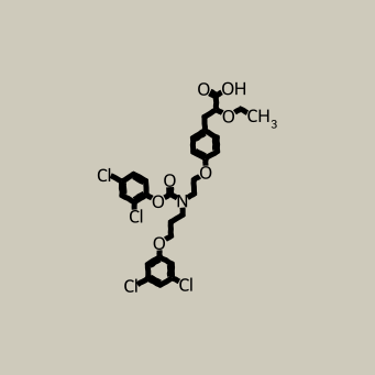 CCOC(Cc1ccc(OCCN(CCCOc2cc(Cl)cc(Cl)c2)C(=O)Oc2ccc(Cl)cc2Cl)cc1)C(=O)O